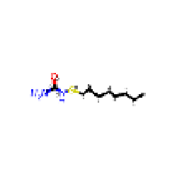 CCCCCCCCSNC(N)=O